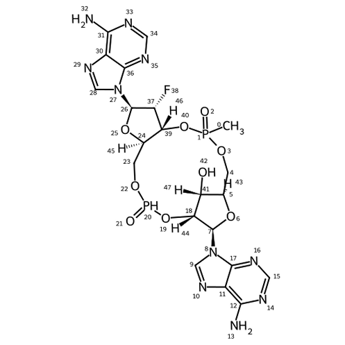 CP1(=O)OC[C@H]2O[C@@H](n3cnc4c(N)ncnc43)[C@H](O[PH](=O)OC[C@H]3O[C@@H](n4cnc5c(N)ncnc54)[C@H](F)[C@@H]3O1)[C@@H]2O